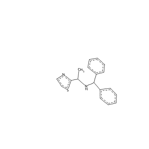 CC(NC(c1ccccc1)c1ccccc1)c1nccs1